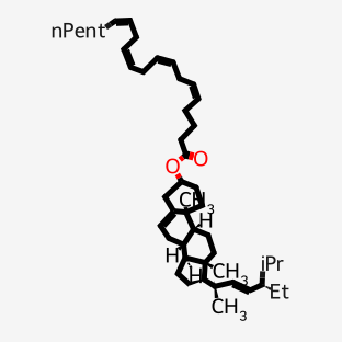 CCCCC/C=C\C/C=C\C/C=C\C/C=C\CCCC(=O)OC1CC[C@@]2(C)C(=CC[C@H]3[C@@H]4CC[C@H]([C@H](C)C=C[C@@H](CC)C(C)C)[C@@]4(C)CC[C@@H]32)C1